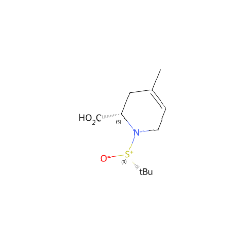 CC1=CCN([S@@+]([O-])C(C)(C)C)[C@H](C(=O)O)C1